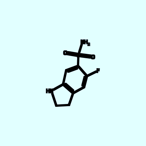 NS(=O)(=O)c1cc2c(cc1F)CCN2